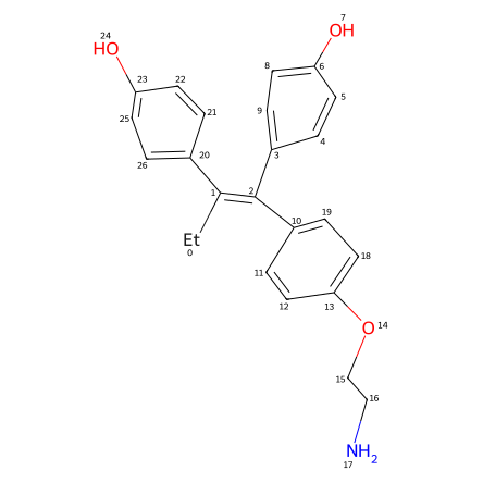 CCC(=C(c1ccc(O)cc1)c1ccc(OCCN)cc1)c1ccc(O)cc1